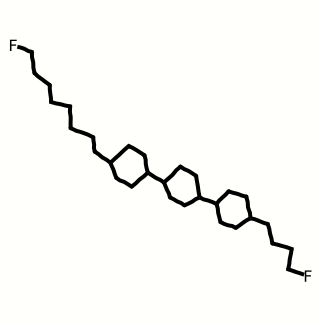 FCCCCCCCCC1CCC(C2CCC(C3CCC(CCCCF)CC3)CC2)CC1